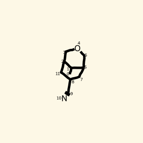 CC1C2COCC1CC(C#N)C2